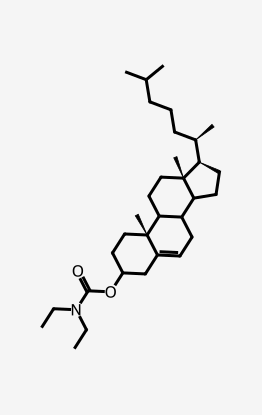 CCN(CC)C(=O)OC1CC[C@@]2(C)C(=CCC3C2CC[C@@]2(C)C3CC[C@@H]2[C@H](C)CCCC(C)C)C1